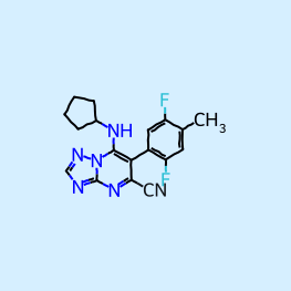 Cc1cc(F)c(-c2c(C#N)nc3ncnn3c2NC2CCCC2)cc1F